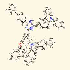 c1ccc(-c2ccc(-c3nc(-c4cc(-n5c6cc7ccccc7cc6c6cc7ccccc7cc65)c5c(c4)oc4c6ccccc6ccc45)nc(-c4ccc5c(c4)c4ccccc4n5-c4ccccc4)n3)cc2)cc1